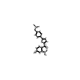 CN(C)Cc1ccc(-c2ccc(C(=O)c3ccc(F)cc3N(C)C)s2)cc1